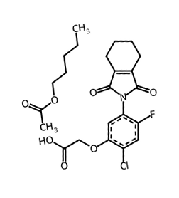 CCCCCOC(C)=O.O=C(O)COc1cc(N2C(=O)C3=C(CCCC3)C2=O)c(F)cc1Cl